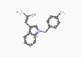 Cc1ccc(Cn2cc(/C=C(\C#N)C(=O)O)c3ccccc32)cc1